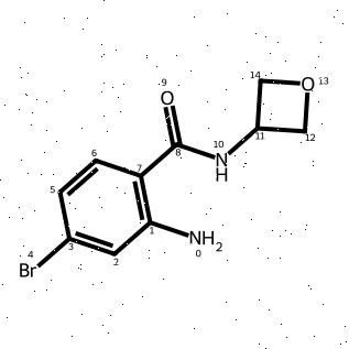 Nc1cc(Br)ccc1C(=O)NC1COC1